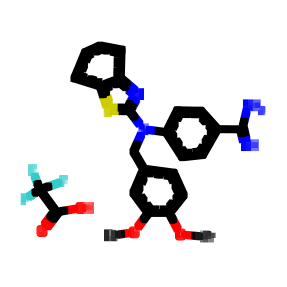 CCOc1cc(CN(c2ccc(C(=N)N)cc2)c2nc3ccccc3s2)ccc1OC(C)C.O=C(O)C(F)(F)F